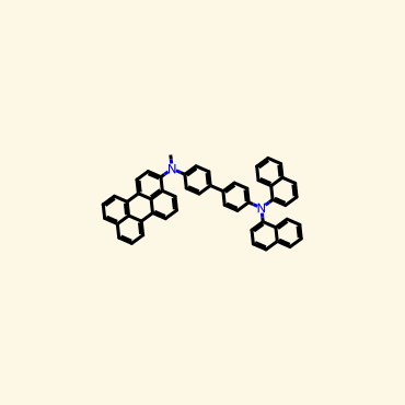 CN(c1ccc(-c2ccc(N(c3cccc4ccccc34)c3cccc4ccccc34)cc2)cc1)c1ccc2c3cccc4cccc(c5cccc1c52)c43